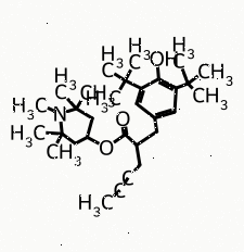 CCCCC(Cc1cc(C(C)(C)C)c(O)c(C(C)(C)C)c1)C(=O)OC1CC(C)(C)N(C)C(C)(C)C1